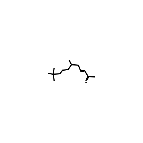 CC(=O)C=CCC(C)CCCC(C)(C)C